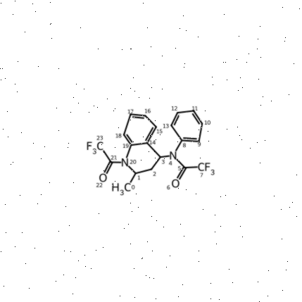 CC1CC(N(C(=O)C(F)(F)F)c2ccccc2)c2ccccc2N1C(=O)C(F)(F)F